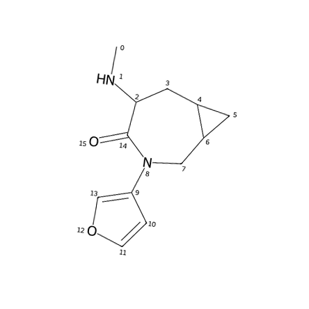 CNC1CC2CC2CN(c2ccoc2)C1=O